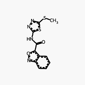 CSc1nnc(NC(=O)c2onc3ccccc23)s1